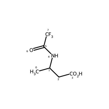 CC(CC(=O)O)NC(=O)C(F)(F)F